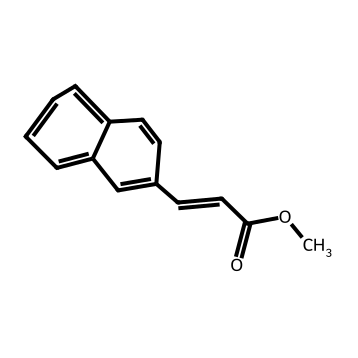 COC(=O)/C=C/c1ccc2ccccc2c1